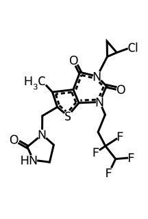 Cc1c(CN2CCNC2=O)sc2c1c(=O)n(C1CC1Cl)c(=O)n2CCC(F)(F)C(F)F